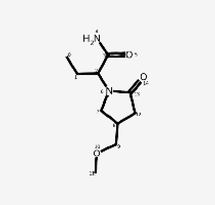 CCC(C(N)=O)N1CC(COC)CC1=O